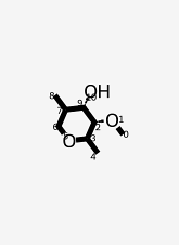 CO[C@@H]1C(C)OCC(C)[C@@H]1O